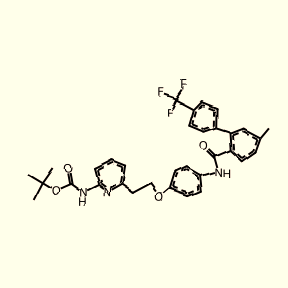 Cc1ccc(C(=O)Nc2ccc(OCCc3cccc(NC(=O)OC(C)(C)C)n3)cc2)c(-c2ccc(C(F)(F)F)cc2)c1